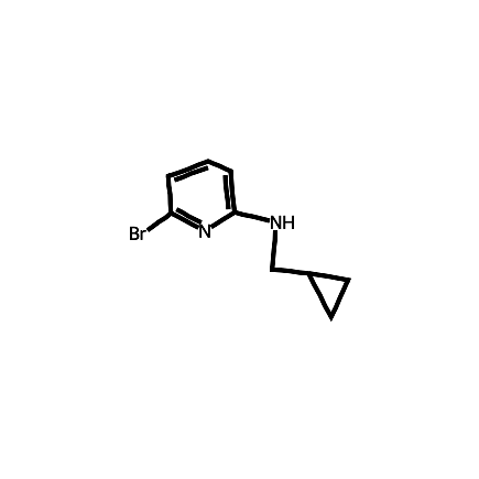 Brc1cccc(NCC2CC2)n1